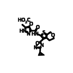 Cc1[nH]nc(C(=O)Nc2sc3c(c2-c2nc(C4CC4)no2)CCOC3)c1OC(=O)O